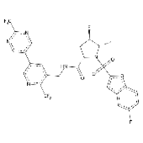 C[C@H]1[C@H](F)C[C@@H](C(=O)NCc2cc(-c3cnc(C(F)(F)F)nc3)cnc2C(F)(F)F)N1S(=O)(=O)c1cc2cc(F)ccc2o1